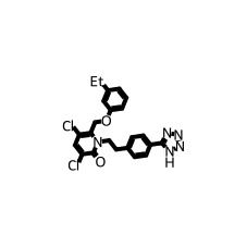 CCc1cccc(OCc2c(Cl)cc(Cl)c(=O)n2CCc2ccc(-c3nnn[nH]3)cc2)c1